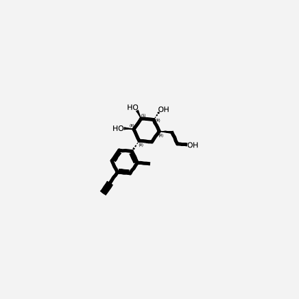 C#Cc1ccc([C@H]2C[C@H](CCO)[C@@H](O)[C@H](O)[C@@H]2O)c(C)c1